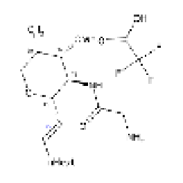 CCCCCCC/C=C/[C@@H]1OC[C@H](C)[C@H](OC)[C@H]1NC(=O)CN.O=C(O)C(F)(F)F